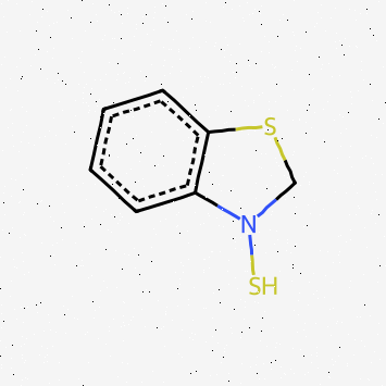 SN1CSc2ccccc21